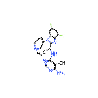 CC(Nc1ncnc(N)c1C#N)c1nc2c(F)cc(F)cc2n1-c1cccnc1